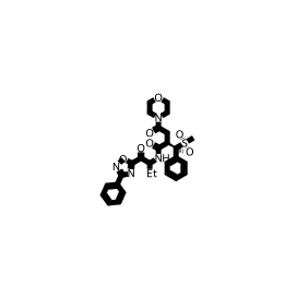 CCC(NC(=O)C(CC(=O)N1CCOCC1)[C@H](c1ccccc1)S(C)(=O)=O)C(=O)c1nc(-c2ccccc2)no1